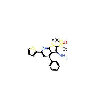 CCCC[SH](=O)(CC)c1sc2nc(-c3cccs3)cc(-c3ccccc3)c2c1N